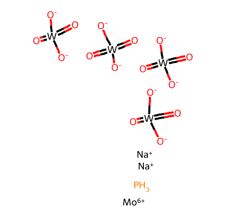 P.[Mo+6].[Na+].[Na+].[O]=[W](=[O])([O-])[O-].[O]=[W](=[O])([O-])[O-].[O]=[W](=[O])([O-])[O-].[O]=[W](=[O])([O-])[O-]